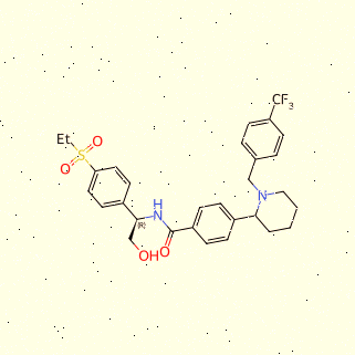 CCS(=O)(=O)c1ccc([C@H](CO)NC(=O)c2ccc(C3CCCCN3Cc3ccc(C(F)(F)F)cc3)cc2)cc1